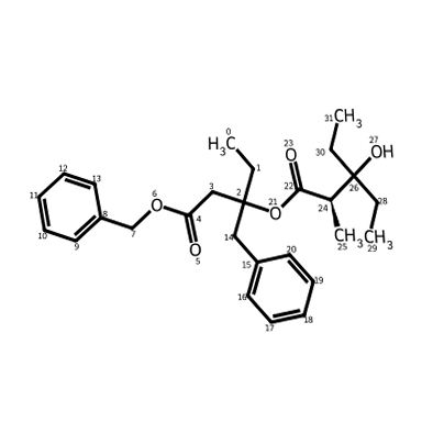 CCC(CC(=O)OCc1ccccc1)(Cc1ccccc1)OC(=O)[C@H](C)C(O)(CC)CC